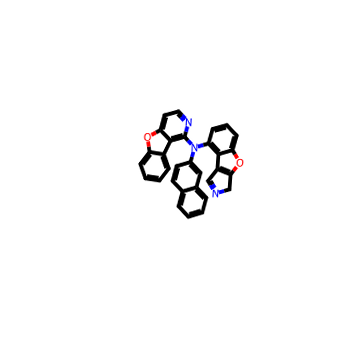 C1=NCc2oc3cccc(N(c4ccc5ccccc5c4)c4nccc5oc6ccccc6c45)c3c21